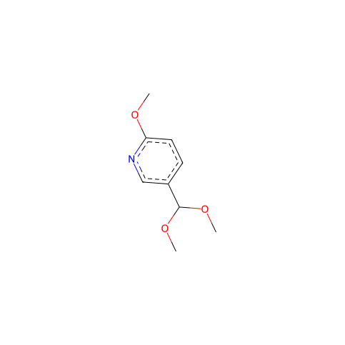 COc1ccc(C(OC)OC)cn1